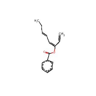 C=CC(=CC=CCC)OC(=O)c1ccccc1